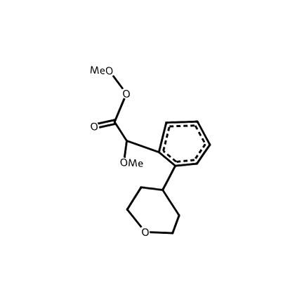 COOC(=O)C(OC)c1ccccc1C1CCOCC1